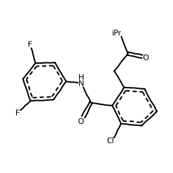 CC(C)C(=O)Cc1cccc(Cl)c1C(=O)Nc1cc(F)cc(F)c1